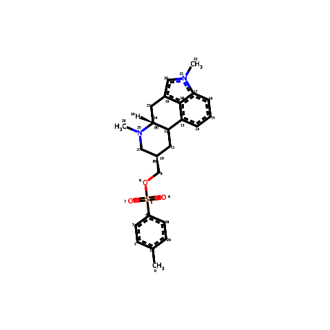 Cc1ccc(S(=O)(=O)OC[C@@H]2CC3c4cccc5c4c(cn5C)C[C@H]3N(C)C2)cc1